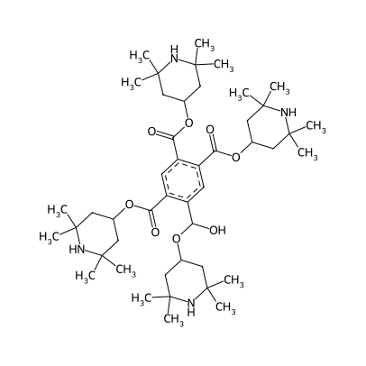 CC1(C)CC(OC(=O)c2cc(C(=O)OC3CC(C)(C)NC(C)(C)C3)c(C(O)OC3CC(C)(C)NC(C)(C)C3)cc2C(=O)OC2CC(C)(C)NC(C)(C)C2)CC(C)(C)N1